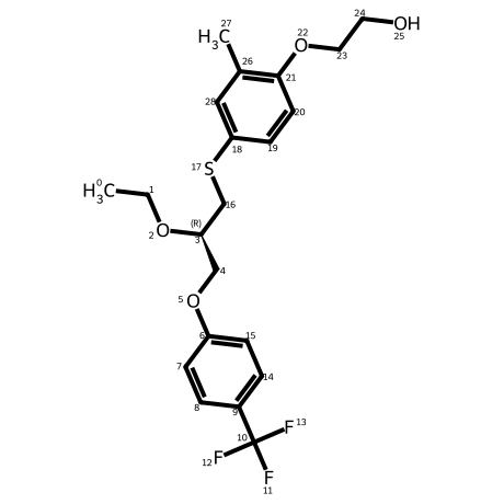 CCO[C@H](COc1ccc(C(F)(F)F)cc1)CSc1ccc(OCCO)c(C)c1